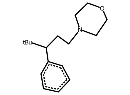 CC(C)(C)C(CCN1CCOCC1)c1ccccc1